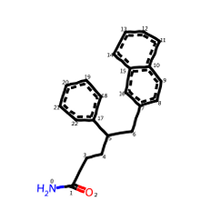 NC(=O)CCC(Cc1ccc2ccccc2c1)c1ccccc1